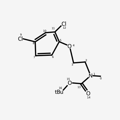 CN(CCOc1ccc(Cl)cc1Cl)C(=O)OC(C)(C)C